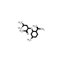 C=C(C)C1CCC(C)CC1OC(CC(C)C)C(N)=O